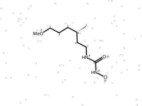 COCCC[C@H](C)CCNC(=O)NCl